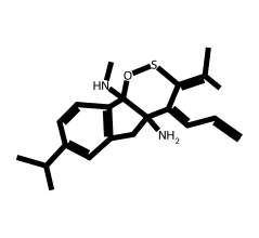 C=C/C=C1\C(=C(C)C)SOC2(NC)c3ccc(C(C)C)cc3CC12N